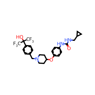 O=C(NCC1CC1)Nc1ccc(OC2CCN(Cc3ccc(C(O)(C(F)(F)F)C(F)(F)F)cc3)CC2)cc1